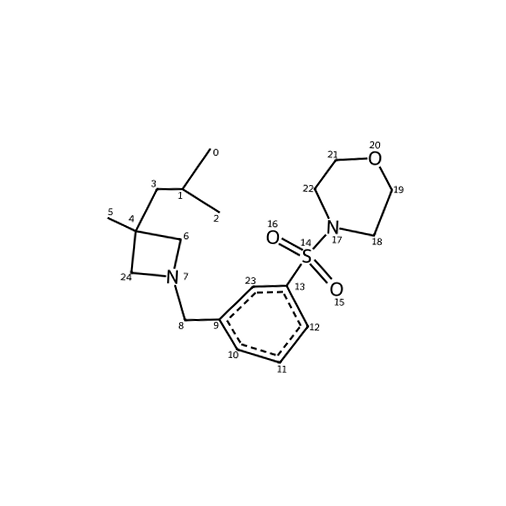 CC(C)CC1(C)CN(Cc2cccc(S(=O)(=O)N3CCOCC3)c2)C1